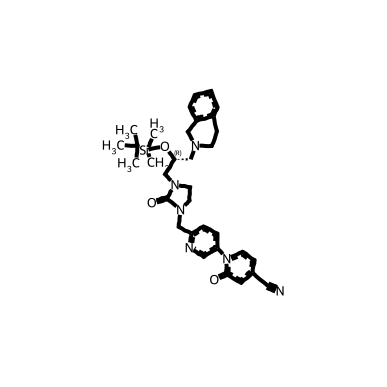 CC(C)(C)[Si](C)(C)O[C@H](CN1CCc2ccccc2C1)CN1CCN(Cc2ccc(-n3ccc(C#N)cc3=O)cn2)C1=O